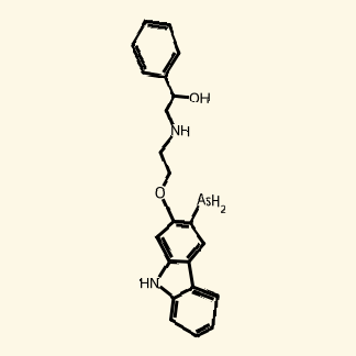 OC(CNCCOc1cc2[nH]c3ccccc3c2cc1[AsH2])c1ccccc1